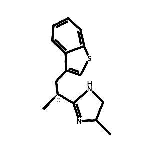 CC1CNC([C@@H](C)Cc2csc3ccccc23)=N1